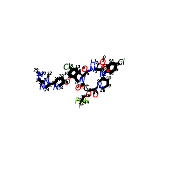 COC[C@@H]1NC(=O)[C@H](C)N(Cc2ccc(Cl)cc2Oc2ccc(-c3cnc(CN(C)C)n3C)nc2)C(=O)CC(OCC(F)(F)F)C(=O)N2CCC[C@@](Cc3ccc(Cl)cc3)(C2)N(C)C1=O